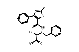 Cc1nc(-c2ccccc2)c(C(=O)N[C@@H](Cc2ccccc2)C(O)C(N)=O)o1